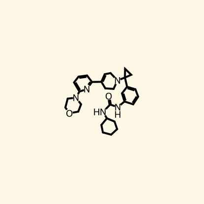 O=C(Nc1cccc(C2(N3CC=C(c4cccc(N5CCOCC5)n4)CC3)CC2)c1)NC1CCCCC1